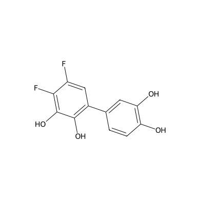 Oc1ccc(-c2cc(F)c(F)c(O)c2O)cc1O